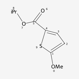 COc1ccc(C(=O)OC(C)C)s1